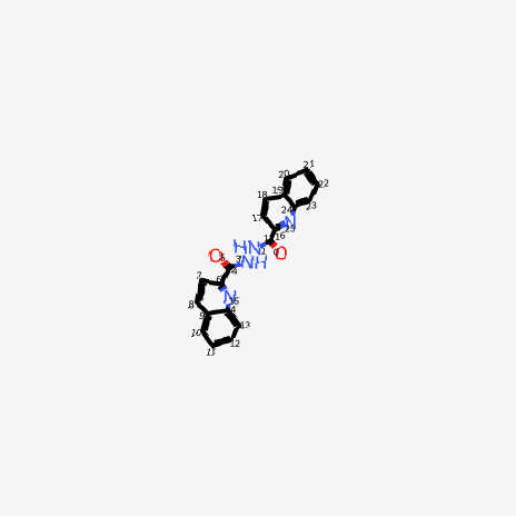 O=C(NNC(=O)c1ccc2ccccc2n1)c1ccc2ccccc2n1